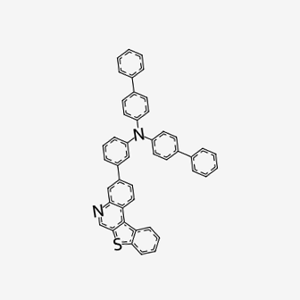 c1ccc(-c2ccc(N(c3ccc(-c4ccccc4)cc3)c3cccc(-c4ccc5c(c4)ncc4sc6ccccc6c45)c3)cc2)cc1